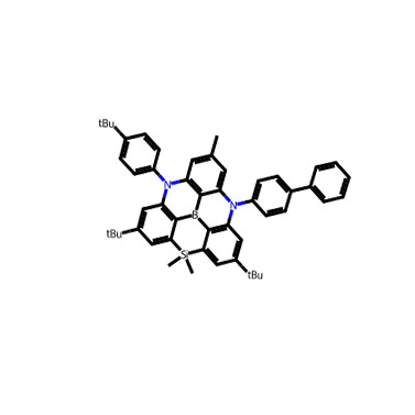 Cc1cc2c3c(c1)N(c1ccc(C(C)(C)C)cc1)c1cc(C(C)(C)C)cc4c1B3c1c(cc(C(C)(C)C)cc1[Si]4(C)C)N2c1ccc(-c2ccccc2)cc1